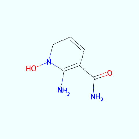 NC(=O)C1=C(N)N(O)CC=C1